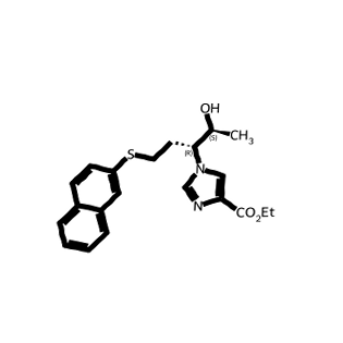 CCOC(=O)c1cn([C@H](CCSc2ccc3ccccc3c2)[C@H](C)O)cn1